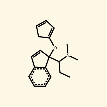 CCC(N(C)C)[C]1([Zr][C]2=CC=CC2)C=Cc2ccccc21